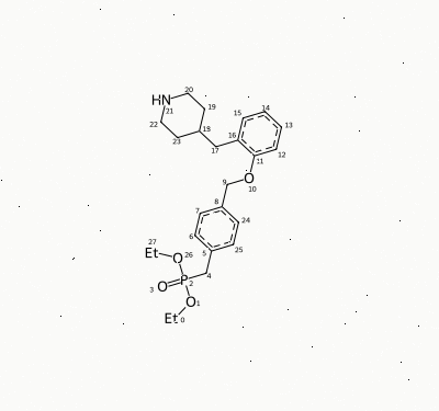 CCOP(=O)(Cc1ccc(COc2ccccc2CC2CCNCC2)cc1)OCC